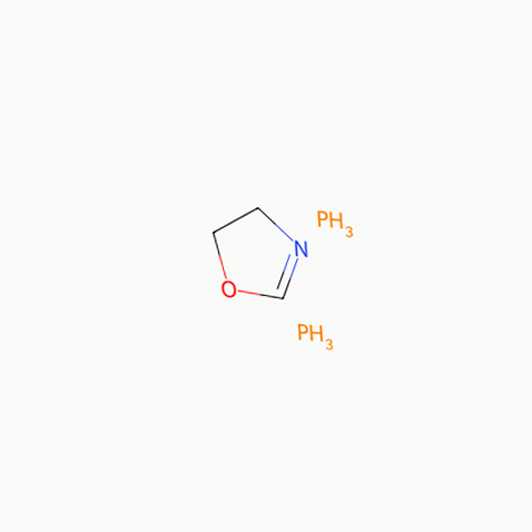 C1=NCCO1.P.P